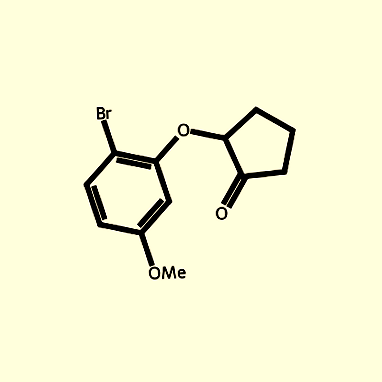 COc1ccc(Br)c(OC2CCCC2=O)c1